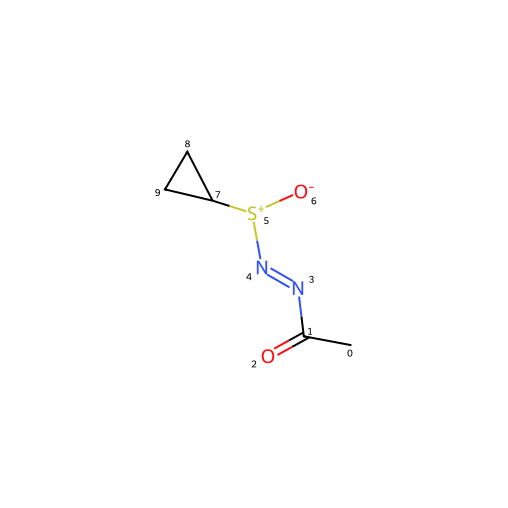 CC(=O)N=N[S+]([O-])C1CC1